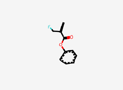 C=C(CF)C(=O)Oc1ccccc1